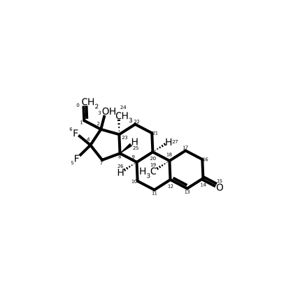 C=CC1(O)C(F)(F)C[C@H]2[C@@H]3CCC4=CC(=O)CC[C@]4(C)[C@@H]3CC[C@@]21C